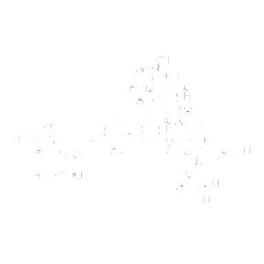 C=C(C)C(=O)OCC(COc1cc(Cc2cccc(OCC(COC(=O)C(=C)C)OC(=O)C(C)C(=O)O)c2C)cc(C(OC(CC)OC(=O)C(=C)C)c2ccc(C)c(OC(=O)CCC(=O)O)c2)c1C)OC(=O)CCC(=O)O